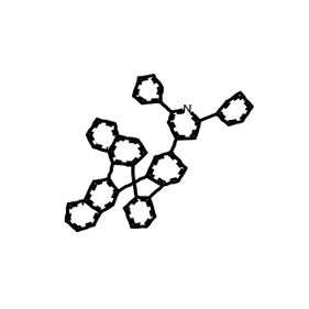 c1ccc(-c2cc(-c3ccc4c(c3)C3(c5ccccc5-4)c4cc5ccccc5cc4-c4c3ccc3ccccc43)cc(-c3ccccc3)n2)cc1